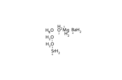 O.O.O.O.[BaH2].[MgH2].[SrH2]